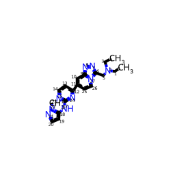 CCN(CC)Cc1nnc2cc(-c3ccnc(Nc4ccnn4C)n3)ccn12